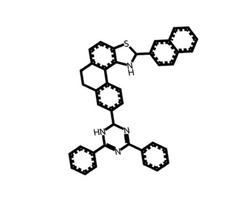 c1ccc(C2=NC(c3ccc4c(c3)CCc3ccc5c(c3-4)NC(c3ccc4ccccc4c3)S5)NC(c3ccccc3)=N2)cc1